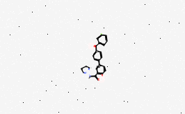 CC(c1coc2ccc(-c3ccc(C(=O)c4cccc(F)c4)cc3)cc12)N1CCC[C@H]1C